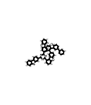 c1ccc(-c2ccc3oc4cccc(-c5ccc6oc7cccc(-c8nc(-c9ccc%10c(c9)sc9ccccc9%10)nc(-c9ccc%10c(c9)sc9ccccc9%10)n8)c7c6c5)c4c3c2)cc1